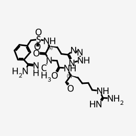 CN(CC(=O)N[C@H](C=O)CCCCNC(=N)N)C(=O)[C@H](CCc1nn[nH]n1)NS(=O)(=O)Cc1cccc(C(=N)N)c1